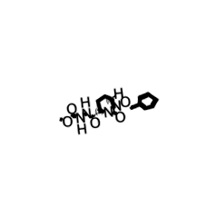 COC(=O)NNC(=O)[C@@H]1CC[C@@H]2CN1C(=O)N2OCc1ccccc1